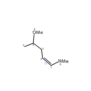 CN/C=C\CC(C)OC